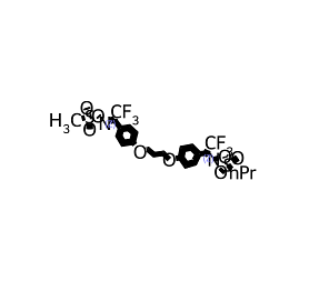 CCCS(=O)(=O)O/N=C(/c1ccc(OCCCOc2ccc(/C(=N/OS(C)(=O)=O)C(F)(F)F)cc2)cc1)C(F)(F)F